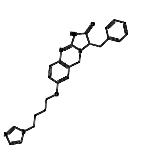 O=C1NC2=Nc3ccc(OCCCCn4ccnc4)cc3CN2C1Cc1ccccc1